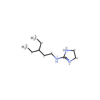 CCC(CC)CCNC1=NCCN1